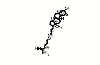 C[C@]12CC[C@H](O)C[C@H]1CC[C@@H]1[C@@H]2CC[C@]2(C)[C@@H](/C=C/C=N/OCCCNC(=N)N)CC[C@@H]12